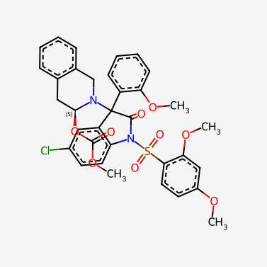 COC(=O)O[C@H]1Cc2ccccc2CN1C1(c2ccccc2OC)C(=O)N(S(=O)(=O)c2ccc(OC)cc2OC)c2ccc(Cl)cc21